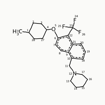 CC1CCC(Oc2ccc3c(CN4CCCCC4)cccc3c2C(F)(F)F)CC1